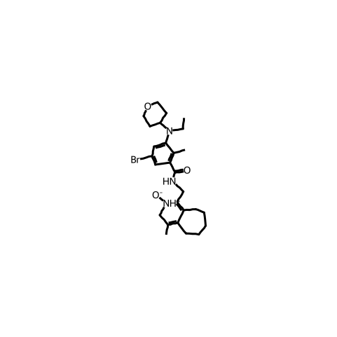 CCN(c1cc(Br)cc(C(=O)NCC2=C3CCCCCC3=C(C)C[NH+]2[O-])c1C)C1CCOCC1